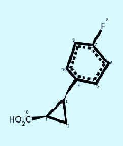 O=C(O)[C@@H]1C[C@@H]1c1ccc(F)cc1